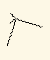 CCCCCCCCCCCCCCC[PH](CCCC)(CCCC)CCCCCCCCCCCCCCC